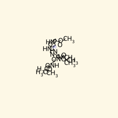 CCOC(=O)c1cc[nH]c1/C=C1\C(=O)Nc2cnc(-c3cn(C(=O)OC(C)(C)C)nc3OCCNC(=O)OC(C)(C)C)nc21